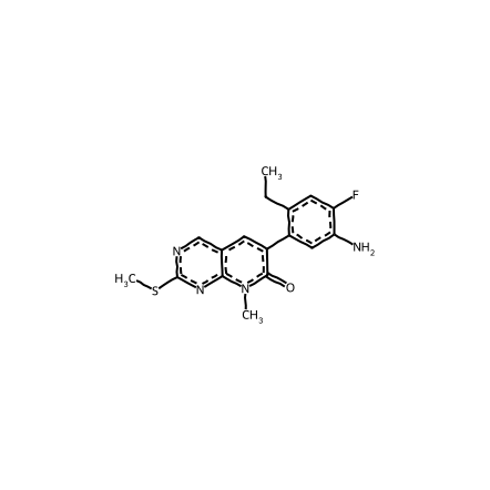 CCc1cc(F)c(N)cc1-c1cc2cnc(SC)nc2n(C)c1=O